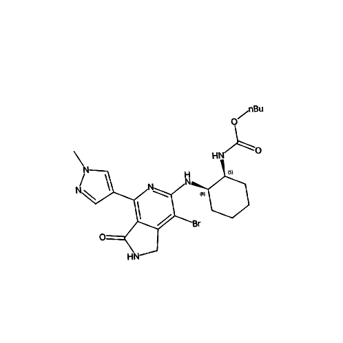 CCCCOC(=O)N[C@H]1CCCC[C@H]1Nc1nc(-c2cnn(C)c2)c2c(c1Br)CNC2=O